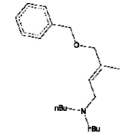 CCCCN(CC=C(C)COCc1ccccc1)CCCC